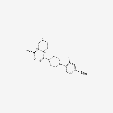 Cc1cc(C#N)ccc1N1CCN(C(=O)[C@H]2CCNC[C@@H]2C(=O)O)CC1